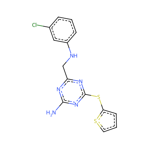 Nc1nc(CNc2cccc(Cl)c2)nc(Sc2cccs2)n1